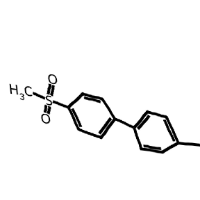 CC(C)c1ccc(-c2ccc(S(C)(=O)=O)cc2)cc1